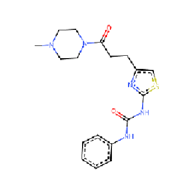 CN1CCN(C(=O)CCc2csc(NC(=O)Nc3ccccc3)n2)CC1